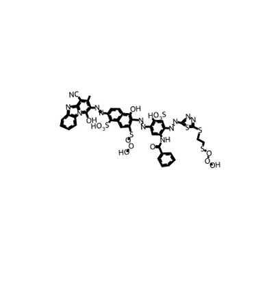 Cc1c(N=Nc2ccc3c(O)c(N=Nc4cc(NC(=O)c5ccccc5)c(N=Nc5nnc(SCCSOOO)s5)cc4S(=O)(=O)O)c(SOOO)cc3c2S(=O)(=O)O)c(O)n2c(nc3ccccc32)c1C#N